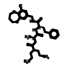 NCCN(CCN)C(=O)C[C@H](N)C(=O)N[C@@H](CCc1ccccc1)C(=O)NCc1cc(Cl)c2c(c1)OCCCO2